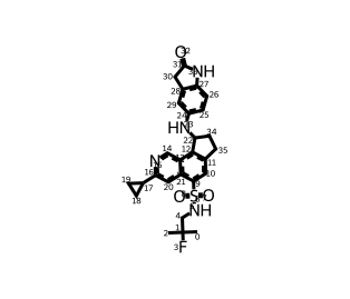 CC(C)(F)CNS(=O)(=O)c1cc2c(c3cnc(C4CC4)cc13)C(Nc1ccc3c(c1)CC(=O)N3)CC2